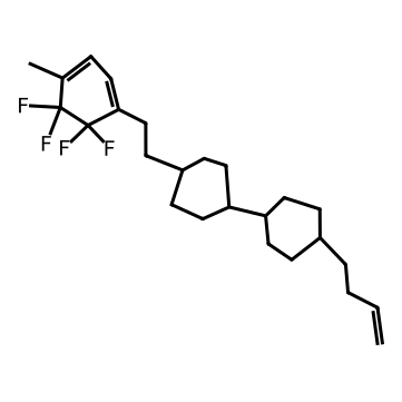 C=CCCC1CCC(C2CCC(CCC3=CC=C(C)C(F)(F)C3(F)F)CC2)CC1